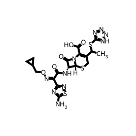 CC(Sc1nnn[nH]1)C1=C(C(=O)O)N2C(=O)[C@@H](NC(=O)/C(=N\OCC3CC3)c3nsc(N)n3)[C@H]2SC1